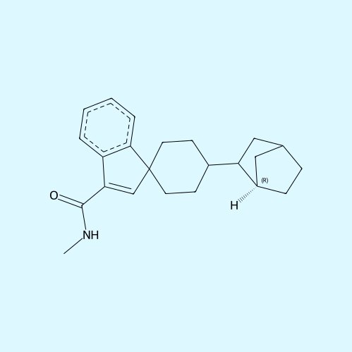 CNC(=O)C1=CC2(CCC(C3CC4CC[C@@H]3C4)CC2)c2ccccc21